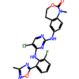 Cc1noc(-c2cccc(F)c2Nc2nc(Nc3ccc4c(c3)CCOC(=O)N4C)ncc2Cl)n1